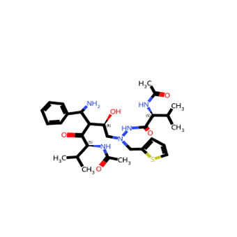 CC(=O)N[C@H](C(=O)NN(Cc1cccs1)C[C@H](O)C(C(=O)[C@@H](NC(C)=O)C(C)C)C(N)c1ccccc1)C(C)C